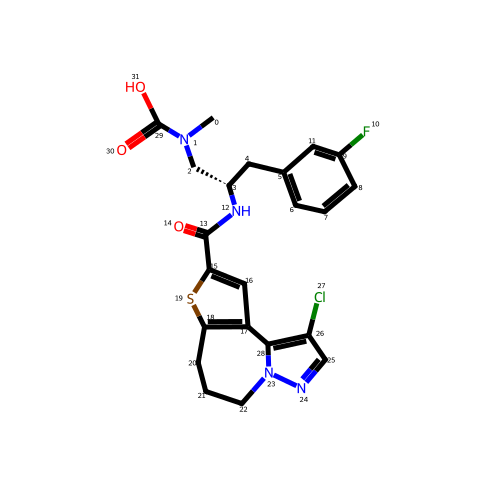 CN(C[C@H](Cc1cccc(F)c1)NC(=O)c1cc2c(s1)CCCn1ncc(Cl)c1-2)C(=O)O